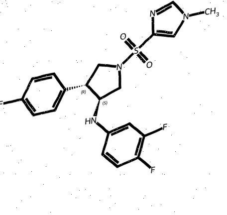 Cn1cnc(S(=O)(=O)N2C[C@@H](Nc3ccc(F)c(F)c3)[C@H](c3ccc(F)cc3)C2)c1